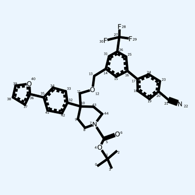 CC(C)(C)OC(=O)N1CCC(COCc2cc(-c3ccc(C#N)cc3)cc(C(F)(F)F)c2)(c2ccc(-c3ccco3)cc2)CC1